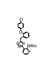 CNc1ncccc1-c1noc(Cc2ccccc2Oc2ccc(Cl)cc2)n1